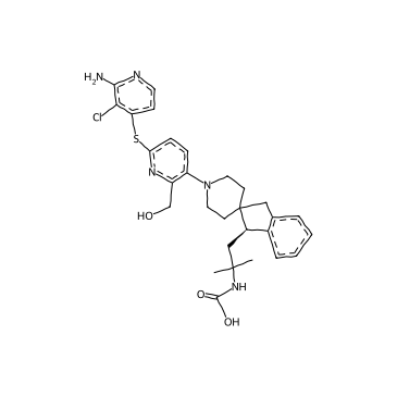 CC(C)(C[C@@H]1c2ccccc2CC12CCN(c1ccc(Sc3ccnc(N)c3Cl)nc1CO)CC2)NC(=O)O